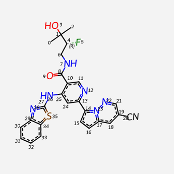 CC(C)(O)[C@H](F)CNC(=O)c1cnc(-c2ccc3cc(C#N)cnn23)cc1Nc1nc2ccccc2s1